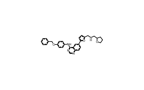 c1ccc(COc2ccc(Nc3ncnc4ccc(-c5ccc(CNCC6CCCO6)o5)cc34)cc2)cc1